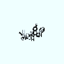 C=CCNC(=O)C1(C)COC(c2nc(-c3ccc(F)cc3)c(-c3ccnc(N4CCOCC4)n3)[nH]2)OC1